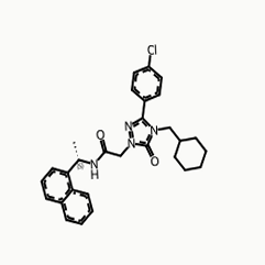 C[C@H](NC(=O)Cn1nc(-c2ccc(Cl)cc2)n(CC2CCCCC2)c1=O)c1cccc2ccccc12